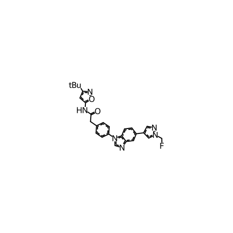 CC(C)(C)c1cc(NC(=O)Cc2ccc(-n3cnc4cc(-c5cnn(CF)c5)ccc43)cc2)on1